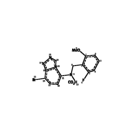 COc1cccc(F)c1CN(C(=O)O)c1ccc(Br)c2nncn12